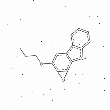 CCCOc1cc2c([nH]c3ccccc32)c2c1O2